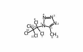 Cc1nnnn1C(Cl)(Cl)C(Cl)(Cl)Cl